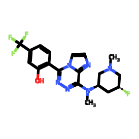 CN1C[C@H](F)C[C@@H](N(C)c2nnc(-c3ccc(C(F)(F)F)cc3O)n3ccnc23)C1